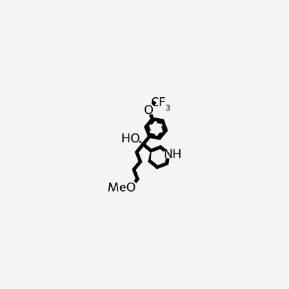 COCCCC[C@@](O)(c1cccc(OC(F)(F)F)c1)[C@@H]1CCCNC1